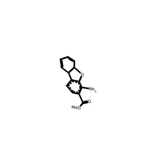 COC(=O)c1ccc2c(c1N)OC1C=CC=CC21